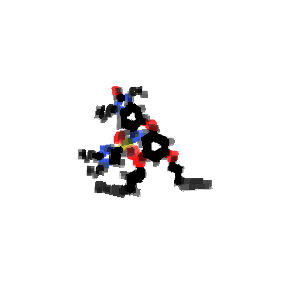 COCCCOc1cc(OCCCOC)cc(Oc2cc3c(cc2NS(=O)(=O)c2cn(C)c(C)n2)n(C)c(=O)n3C)c1